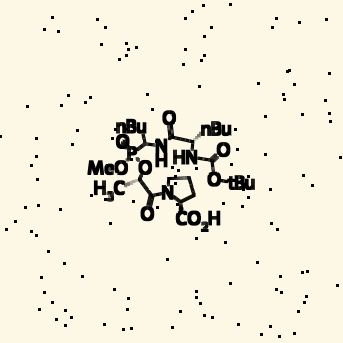 CCCCC(NC(=O)[C@H](CCCC)NC(=O)OC(C)(C)C)P(=O)(OC)O[C@@H](C)C(=O)N1CCC[C@H]1C(=O)O